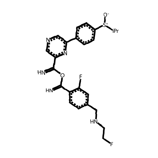 CC(C)[S+]([O-])c1ccc(-c2cncc(C(=N)OC(=N)c3ccc(CNCCF)cc3F)n2)cc1